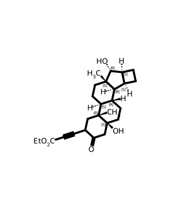 CCOC(=O)C#CC1C[C@]2(C)[C@H]3CC[C@@]4(C)[C@@H]([C@@H]5CC[C@@H]5[C@H]4O)[C@@H]3CC[C@]2(O)CC1=O